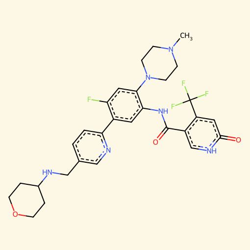 CN1CCN(c2cc(F)c(-c3ccc(CNC4CCOCC4)cn3)cc2NC(=O)c2c[nH]c(=O)cc2C(F)(F)F)CC1